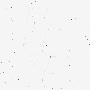 C=C1c2cc(C3(C(=O)O)CC3)ccc2OC1(F)F